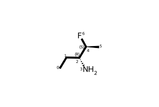 CC[C@@H](N)[C@H](C)F